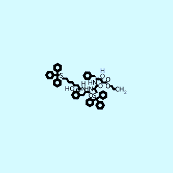 C=CCOC(=O)C[C@H](O)[C@@H](Cc1ccccc1)NC(=O)C(CSC(c1ccccc1)(c1ccccc1)c1ccccc1)NC(=O)C(Cc1ccccc1)NC(=O)CC(O)C=CCCSC(c1ccccc1)(c1ccccc1)c1ccccc1